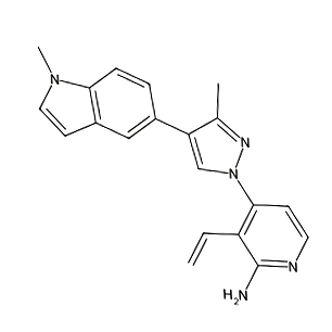 C=Cc1c(-n2cc(-c3ccc4c(ccn4C)c3)c(C)n2)ccnc1N